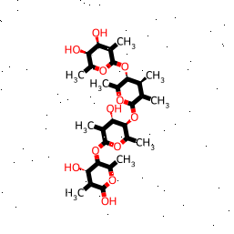 CC1OC(O)C(C)[C@H](O)C1OC1OC(C)[C@H](OC2OC(C)[C@H](OC3OC(C)[C@@H](O)[C@@H](O)C3C)[C@@H](C)C2C)[C@@H](O)C1C